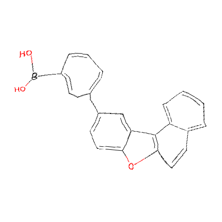 OB(O)c1cccc(-c2ccc3oc4ccc5ccccc5c4c3c2)c1